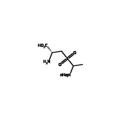 CCCCCCCC(C)S(=O)(=O)C[C@H](N)C(=O)O